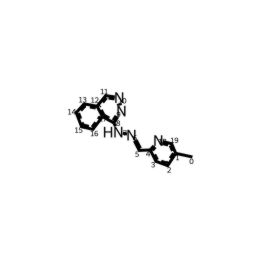 Cc1ccc(/C=N/Nc2nncc3ccccc23)nc1